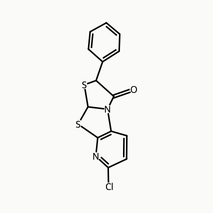 O=C1C(c2ccccc2)SC2Sc3nc(Cl)ccc3N12